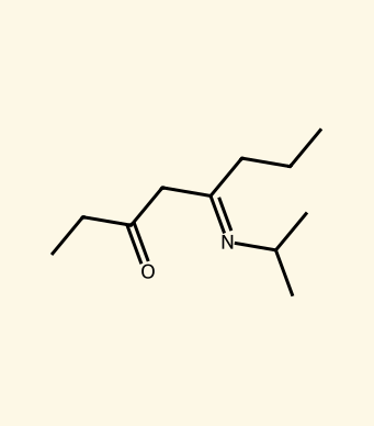 CCCC(CC(=O)CC)=NC(C)C